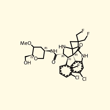 COC1C[C@@H](NC(=O)[C@@H]2NC3(CC(CF)(CF)C3)[C@@]3(C(=O)Nc4cc(Cl)ccc43)[C@H]2c2cccc(Cl)c2F)CO[C@H]1CO